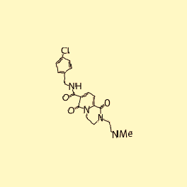 CNCCN1CCn2c(ccc(C(=O)NCc3ccc(Cl)cc3)c2=O)C1=O